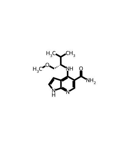 COC[C@@H](Nc1c(C(N)=O)cnc2[nH]ccc12)C(C)C